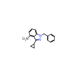 O=[N+]([O-])c1cccc2c1c(C1CC1)nn2Cc1ccccc1